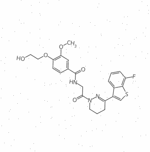 COc1cc(C(=O)NCC(=O)N2CCCC(c3csc4c(F)cccc34)=N2)ccc1OCCO